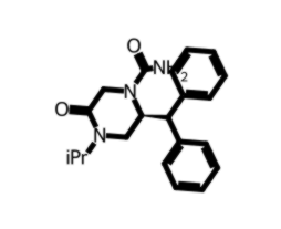 CC(C)N1C[C@H](C(c2ccccc2)c2ccccc2)N(C(N)=O)CC1=O